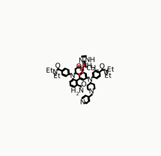 CCN(CC)C(=O)c1ccc(N(c2cc(C(N)=O)cc(-c3c(C(N)=O)cccc3N(c3ccc(C(=O)N(CC)CC)cc3)C3CCN(C(C)c4ncc[nH]4)CC3)c2)C2CCN(Cc3ccncc3)CC2)cc1